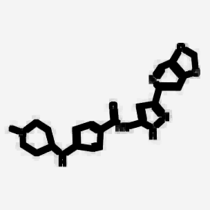 CN1CCC(Nc2ccc(C(=O)Nc3cc(-c4cc5c(cn4)OCO5)n[nH]3)cc2)CC1